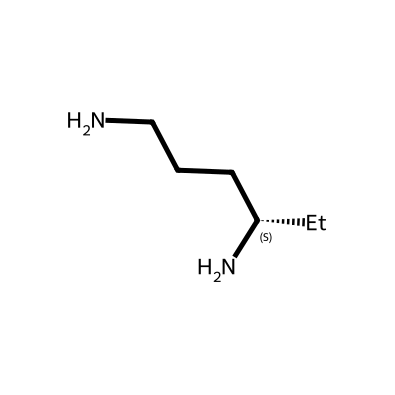 CC[C@H](N)CCCN